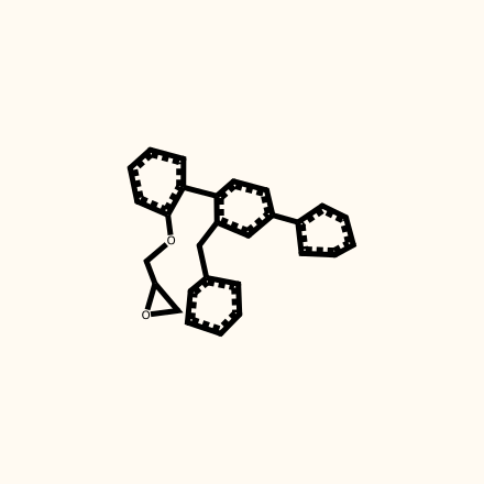 c1ccc(Cc2cc(-c3ccccc3)ccc2-c2ccccc2OCC2CO2)cc1